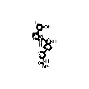 CCCC(=O)Nc1cncc(-c2ccc3[nH]nc(-c4nc5c(-c6cc(O)cc(F)c6)ccnc5[nH]4)c3c2)c1